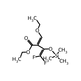 CCOC=C(C(=O)OCC)C(O[Si](C)(C)C)=C(F)F